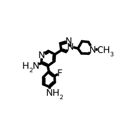 CN1CCC(n2cc(-c3cnc(N)c(-c4ccc(N)cc4F)c3)cn2)CC1